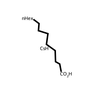 CCCCCCCCCCCCCC(=O)O.[CsH]